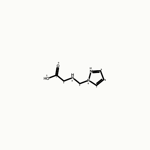 O=C(O)CNCn1cccn1